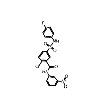 O=C(Nc1cccc([N+](=O)[O-])c1)c1cc(S(=O)(=O)Nc2ccc(F)cc2)ccc1Cl